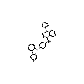 c1ccc(-c2nnc(Nc3ccc(Oc4ncccc4-c4ccncn4)cc3)c3ccccc23)cc1